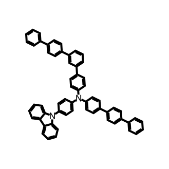 c1ccc(-c2ccc(-c3ccc(N(c4ccc(-c5cccc(-c6ccc(-c7ccccc7)cc6)c5)cc4)c4ccc(-n5c6ccccc6c6ccccc65)cc4)cc3)cc2)cc1